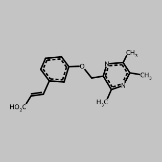 Cc1nc(C)c(COc2cccc(/C=C/C(=O)O)c2)nc1C